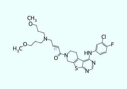 COCCCN(C/C=C/C(=O)N1CCc2c(sc3ncnc(Nc4ccc(F)c(Cl)c4)c23)C1)CCCOC